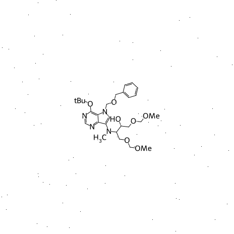 COCOCC(O)C(COCOC)N(C)c1cn(COCc2ccccc2)c2c(OC(C)(C)C)ncnc12